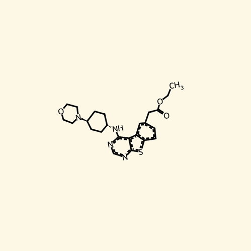 CCOC(=O)Cc1ccc2sc3ncnc(N[C@H]4CC[C@H](N5CCOCC5)CC4)c3c2c1